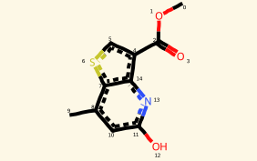 COC(=O)c1csc2c(C)cc(O)nc12